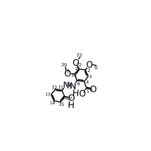 COc1cc(C(=O)O)c(/N=N/c2ccccc2O)c(OC)c1OC